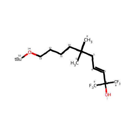 CC(C)(CC=CC(O)(C(F)(F)F)C(F)(F)F)CCCCOC(C)(C)C